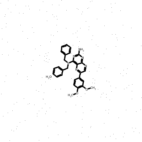 COc1ccc(-c2cnc3nc(N)nc(N(Cc4ccccc4)Cc4ccccc4)c3n2)cc1OC.O